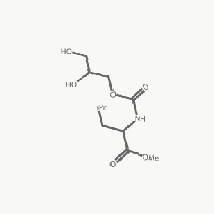 COC(=O)C(CC(C)C)NC(=O)OCC(O)CO